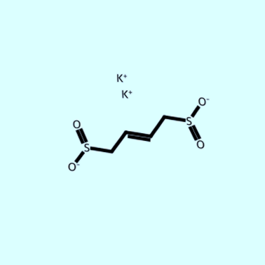 O=S([O-])C/C=C/CS(=O)[O-].[K+].[K+]